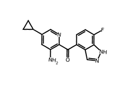 Nc1cc(C2CC2)cnc1C(=O)c1ccc(F)c2[nH]ncc12